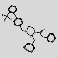 O=C(Cc1ccccc1)N1CCN(Cc2ccc(-c3ccccc3C(F)(F)F)cc2)C[C@@H]1Cc1ccccc1